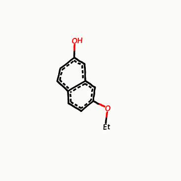 CCOc1ccc2ccc(O)cc2c1